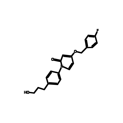 O=c1cc(OCc2ccc(F)cc2)ccn1-c1ccc(CCCO)cc1